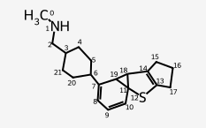 CNCC1CCC(C2=CC=CC34SC5=C(CCC5)C3C24)CC1